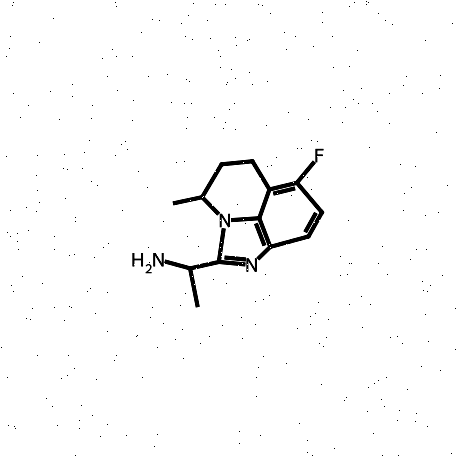 CC(N)c1nc2ccc(F)c3c2n1C(C)CC3